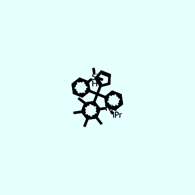 Cc1c(C)c(C)c(C(C2=CC=CC2)(c2ccccc2)c2ccccc2[SiH](C)C)c(NC(C)C)c1C